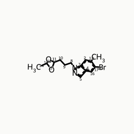 Cc1cc2c(cnn2CCCC2OC(C)O2)cc1Br